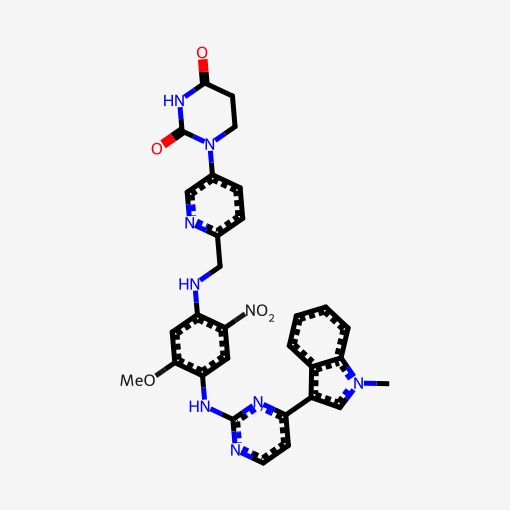 COc1cc(NCc2ccc(N3CCC(=O)NC3=O)cn2)c([N+](=O)[O-])cc1Nc1nccc(-c2cn(C)c3ccccc23)n1